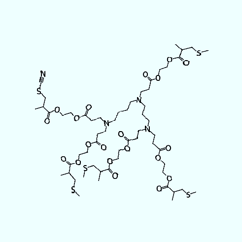 CSCC(C)C(=O)OCCOC(=O)CCN(CCCCN(CCC(=O)OCCOC(=O)C(C)CSC)CCC(=O)OCCOC(=O)C(C)CSC#N)CCCN(CCC(=O)OCCOC(=O)C(C)CSC)CCC(=O)OCCOC(=O)C(C)CSC